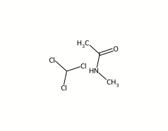 CNC(C)=O.ClC(Cl)Cl